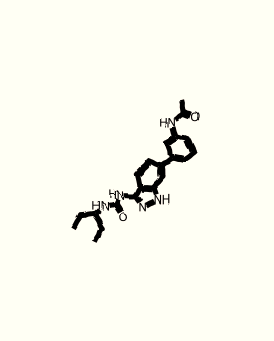 CCC(CC)NC(=O)Nc1n[nH]c2cc(-c3cccc(NC(C)=O)c3)ccc12